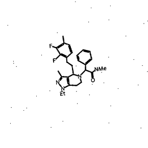 CCn1nc(C)c2c1CCN(C(C(=O)NC)c1ccccc1)C2CCc1ccc(C)c(F)c1F